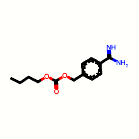 CCCCOC(=O)OCc1ccc(C(=N)N)cc1